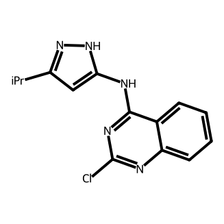 CC(C)c1cc(Nc2nc(Cl)nc3ccccc23)[nH]n1